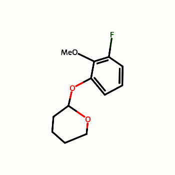 COc1c(F)cccc1OC1CCCCO1